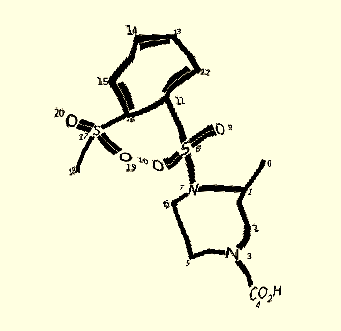 CC1CN(C(=O)O)CCN1S(=O)(=O)c1ccccc1S(C)(=O)=O